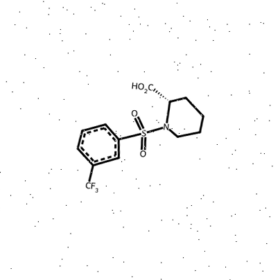 O=C(O)[C@@H]1CCCCN1S(=O)(=O)c1cccc(C(F)(F)F)c1